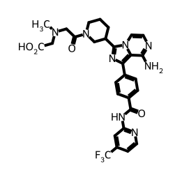 CN(CC(=O)O)CC(=O)N1CCCC(c2nc(-c3ccc(C(=O)Nc4cc(C(F)(F)F)ccn4)cc3)c3c(N)nccn23)C1